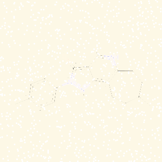 CC1CCc2[nH]cc3c(=O)n(-c4ccc(Cl)cc4)nc-3c2CC1